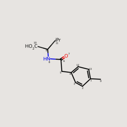 Cc1ccc(CC(=O)NC(C(=O)O)C(C)C)cc1